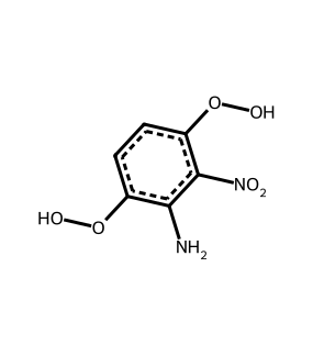 Nc1c(OO)ccc(OO)c1[N+](=O)[O-]